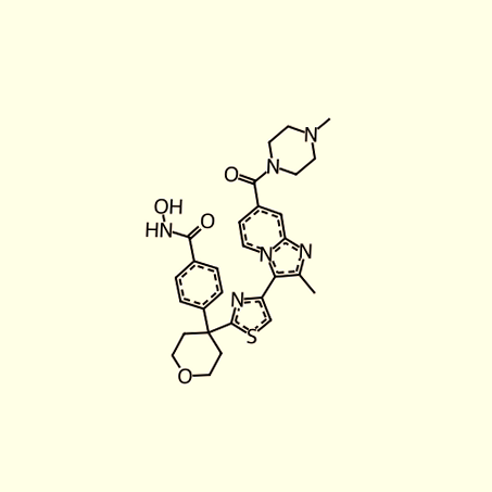 Cc1nc2cc(C(=O)N3CCN(C)CC3)ccn2c1-c1csc(C2(c3ccc(C(=O)NO)cc3)CCOCC2)n1